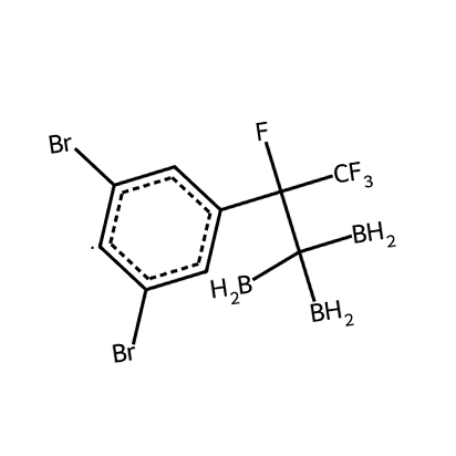 BC(B)(B)C(F)(c1cc(Br)[c]c(Br)c1)C(F)(F)F